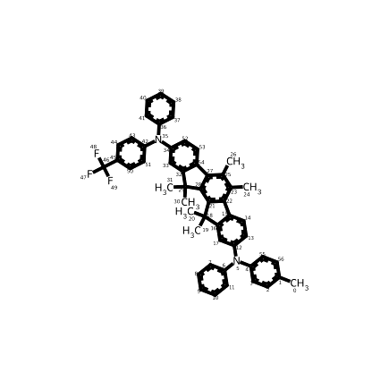 Cc1ccc(N(c2ccccc2)c2ccc3c(c2)C(C)(C)c2c-3c(C)c(C)c3c2C(C)(C)c2cc(N(c4ccccc4)c4ccc(C(F)(F)F)cc4)ccc2-3)cc1